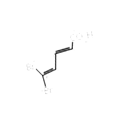 O=C(O)C=CC=C(Br)Br